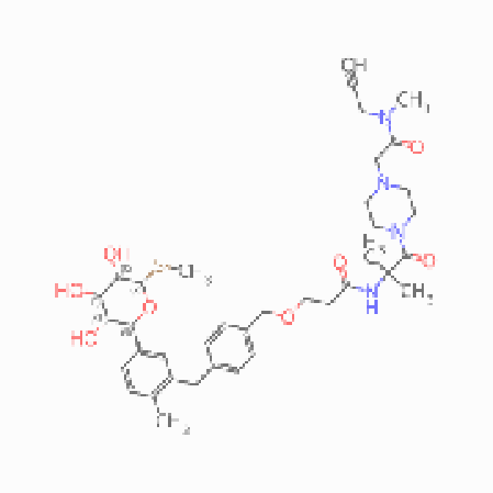 C#CCN(C)C(=O)CN1CCN(C(=O)C(C)(C)NC(=O)CCOCc2ccc(Cc3cc([C@@H]4O[C@H](SC)[C@@H](O)[C@H](O)[C@H]4O)ccc3C)cc2)CC1